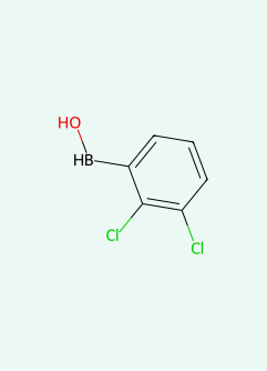 OBc1cccc(Cl)c1Cl